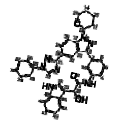 O=C(Nc1cccc(-c2nn(C3CCCCO3)c3ccc(-c4ncn(-c5ccccc5)n4)cc23)c1)C(O)c1c[nH]c2ccccc12